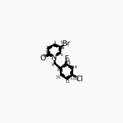 O=c1ccc(Br)cn1Cc1ccc(Cl)cc1F